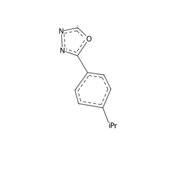 CC(C)c1ccc(-c2nn[c]o2)cc1